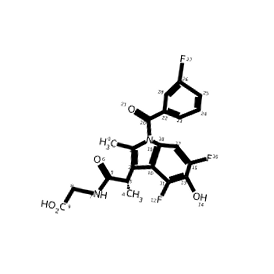 Cc1c([C@H](C)C(=O)NCC(=O)O)c2c(F)c(O)c(F)cc2n1C(=O)c1cccc(F)c1